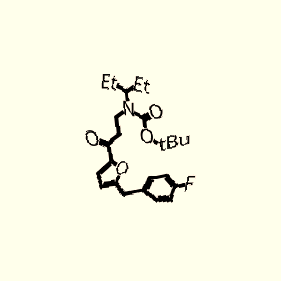 CCC(CC)N(CCC(=O)c1ccc(Cc2ccc(F)cc2)o1)C(=O)OC(C)(C)C